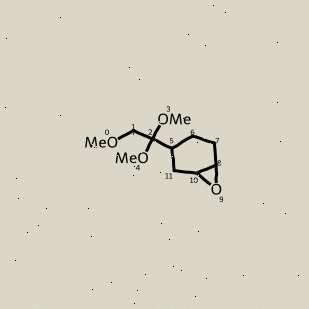 CO[CH]C(OC)(OC)C1CCC2OC2C1